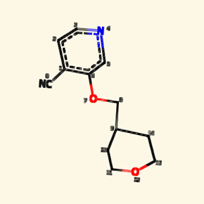 N#Cc1ccncc1OCC1CCOCC1